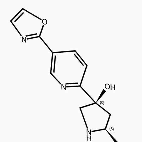 O=C[C@@H]1C[C@@](O)(c2ccc(-c3ncco3)cn2)CN1